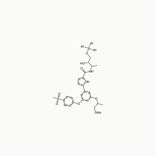 COCC(C)Oc1cc(Oc2ccc(S(C)(=O)=O)nc2)cc(-c2ccc(C(=O)NC(C)C(O)CO[Si](C(C)C)(C(C)C)C(C)C)[nH]2)c1